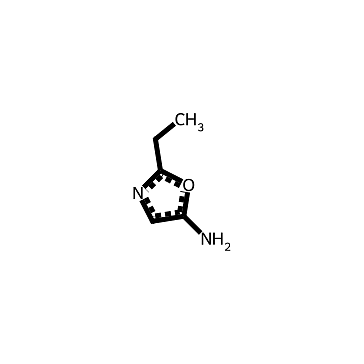 CCc1ncc(N)o1